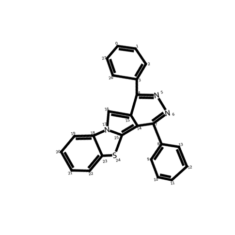 c1ccc(-c2nnc(-c3ccccc3)c3c2cn2c4ccccc4sc32)cc1